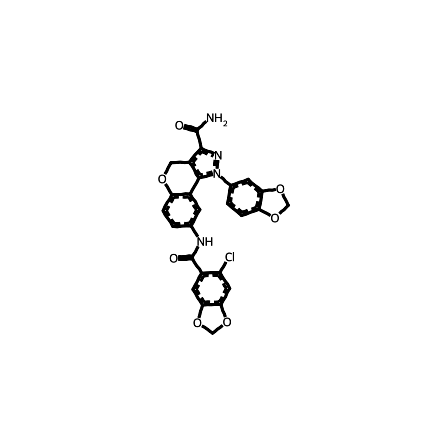 NC(=O)c1nn(-c2ccc3c(c2)OCO3)c2c1COc1ccc(NC(=O)c3cc4c(cc3Cl)OCO4)cc1-2